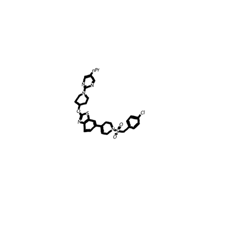 CCCc1cnc(N2CCC(Oc3nc4ccc(C5=CCN(S(=O)(=O)Cc6ccc(Cl)cc6)CC5)cc4s3)CC2)nc1